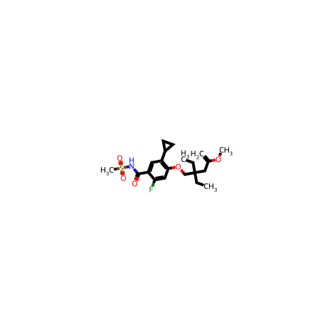 C=C(CC(CC)(CC)COc1cc(F)c(C(=O)NS(C)(=O)=O)cc1C1CC1)OC